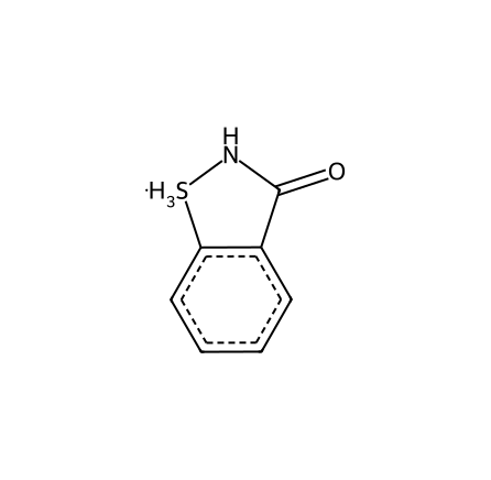 O=C1N[SH3]c2ccccc21